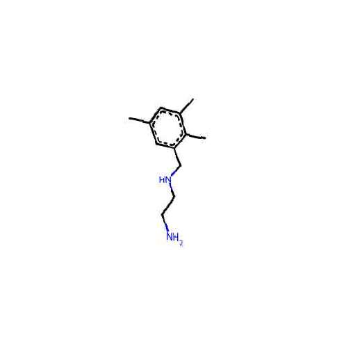 Cc1cc(C)c(C)c(CNCCN)c1